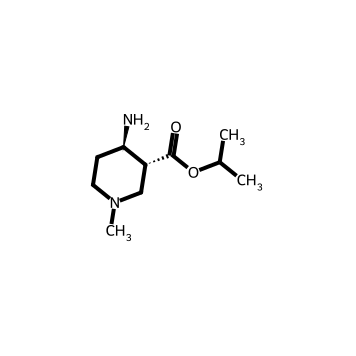 CC(C)OC(=O)[C@@H]1CN(C)CC[C@H]1N